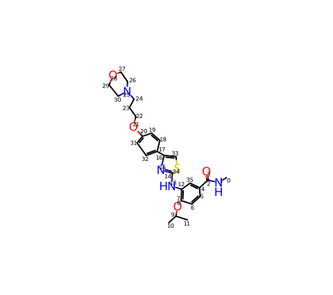 CNC(=O)c1ccc(OC(C)C)c(Nc2nc(-c3ccc(OCCCN4CCOCC4)cc3)cs2)c1